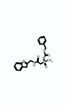 CS(=O)(CC(=O)NCC1=Nc2ccccc2C1)=NC(=O)OCc1ccccc1